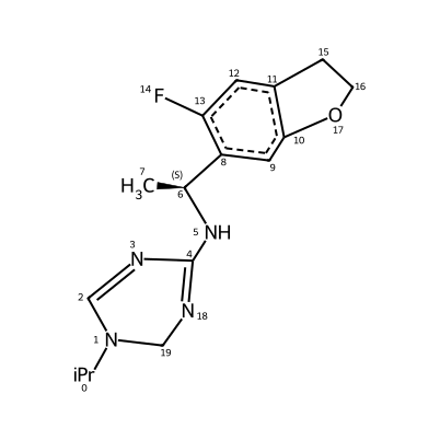 CC(C)N1C=NC(N[C@@H](C)c2cc3c(cc2F)CCO3)=NC1